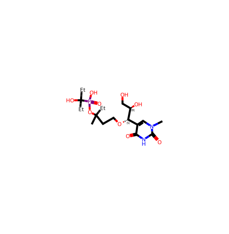 CCC(C)(CCO[C@@H](c1cn(C)c(=O)[nH]c1=O)[C@H](O)CO)OP(=O)(O)C(O)(CC)CC